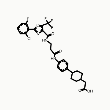 O=C(O)CC1CCC(c2ccc(NC(=O)CCNC(=O)c3nc(-c4c(F)cccc4Cl)oc3C(F)(F)F)cc2)CC1